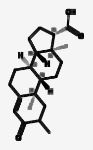 CC1C[C@@]2(C)C(=CC1=O)CC[C@H]1[C@@H]3CC[C@H](C(=O)O)[C@@]3(C)CC[C@@H]12